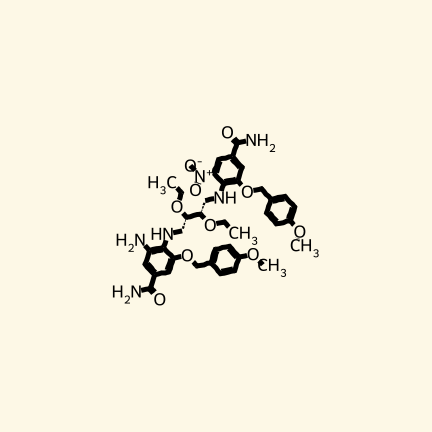 CCO[C@@H](CNc1c(N)cc(C(N)=O)cc1OCc1ccc(OC)cc1)[C@H](CNc1c(OCc2ccc(OC)cc2)cc(C(N)=O)cc1[N+](=O)[O-])OCC